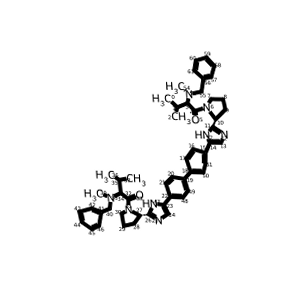 CC(C)C(C(=O)N1CCC[C@H]1c1ncc(-c2ccc(-c3ccc(-c4cnc([C@@H]5CCCN5C(=O)C(C(C)C)N(C)Cc5ccccc5)[nH]4)cc3)cc2)[nH]1)N(C)Cc1ccccc1